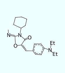 CCN(CC)c1ccc(/C=C2/OC(=NC)N(C3CCCCC3)C2=O)cc1